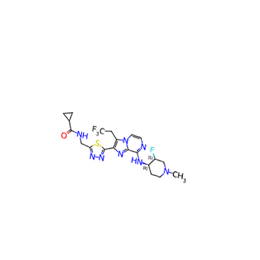 CN1CC[C@@H](Nc2nccn3c(CC(F)(F)F)c(-c4nnc(CNC(=O)C5CC5)s4)nc23)[C@@H](F)C1